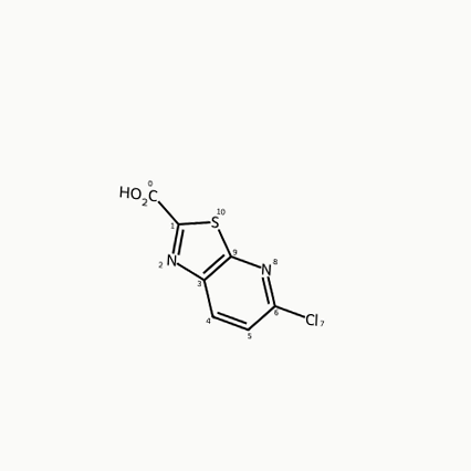 O=C(O)c1nc2ccc(Cl)nc2s1